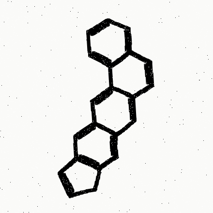 C1=Cc2cc3cc4c(ccc5ccccc54)cc3cc2C1